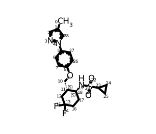 Cc1cnn(-c2ccc(OC[C@H]3CC(F)(F)CC[C@@H]3NS(=O)(=O)C3CC3)cc2)c1